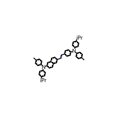 Cc1ccc(N(c2ccc(/C=C/c3ccc4cc(N(c5ccc(C)cc5)c5ccc(C(C)C)cc5)ccc4c3)cc2)c2ccc(C(C)C)cc2)cc1